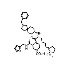 CC1CCCN1CCCC[C@@H](NC1CCC2(CC1)CCN(Cc1ccccc1)C2)C(=O)N1CCN(C(=O)O)C[C@H]1C(=O)NCc1cccs1